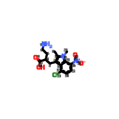 Cc1c(CC(CCN)C(=O)O)c2c(Cl)ccc([N+](=O)[O-])c2n1C